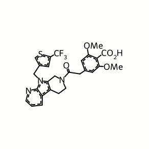 COc1cc(CC(=O)N2CCc3c(n(Cc4csc(C(F)(F)F)c4)c4ncccc34)C2)cc(OC)c1C(=O)O